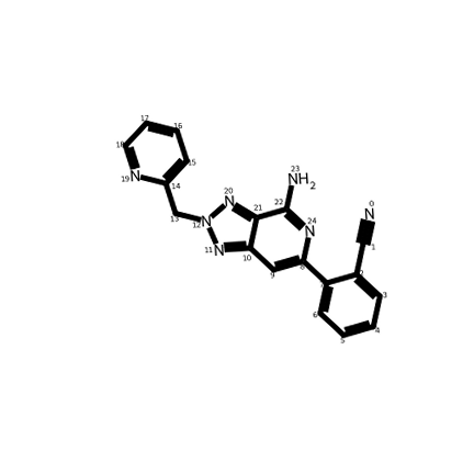 N#Cc1ccccc1-c1cc2nn(Cc3ccccn3)nc2c(N)n1